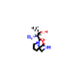 C[C@@H](O)[C@H](N)C(=O)N1CCCC12CNC2=O